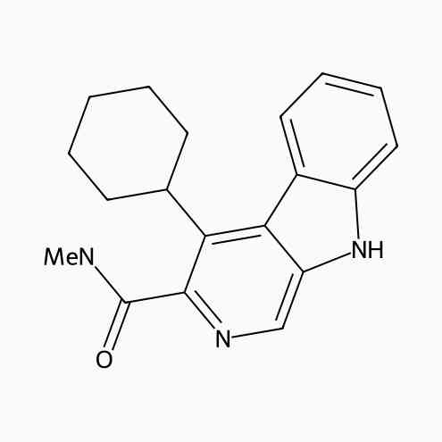 CNC(=O)c1ncc2[nH]c3ccccc3c2c1C1CCCCC1